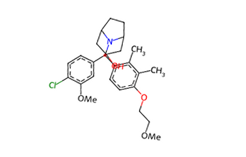 COCCOc1ccc(CN2C3CCC2CC(O)(c2ccc(Cl)c(OC)c2)C3)c(C)c1C